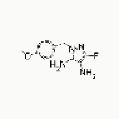 COc1ccc(Cn2nc(F)c(N)c2N)cc1